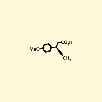 CC#CC(CC(=O)O)c1ccc(OC)cc1